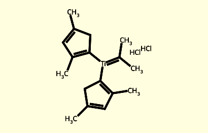 CC1=CC(C)=[C]([Ti]([C]2=C(C)C=C(C)C2)=[C](C)C)C1.Cl.Cl